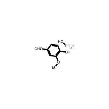 CCOc1cc(C=O)ccc1O.O=C(O)O